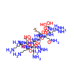 CSCC[C@H](NC(=O)[C@H](CCCNC(=N)N)NC(=O)[C@H](CC(=O)O)NC(=O)[C@H](CCCCN)NC(=O)[C@H](CCCCN)NC(=O)[C@H](CC(C)C)NC(=O)[C@@H](N)CCCCN)C(=O)N[C@@H](CCC(N)=O)C(=O)N[C@@H](CCCNC(=N)N)C(=O)N[C@@H](CO)C(=O)O